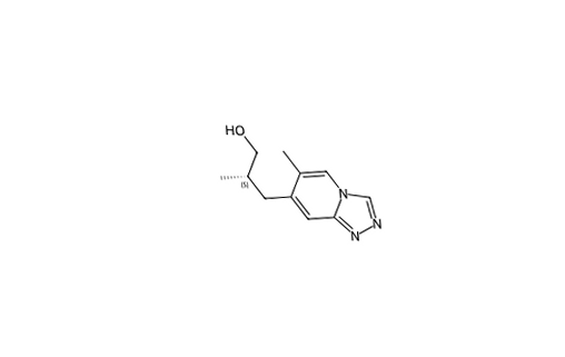 Cc1cn2cnnc2cc1C[C@H](C)CO